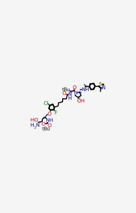 Cc1ncsc1-c1ccc([C@H](C)NC[C@@H]2C[C@@H](O)CN2C(=O)[C@@H](NC(=O)CCCCCc2cc(Cl)cc(OC[C@H](CCC(N)O)NC(=O)OC(C)(C)C)c2F)C(C)(C)C)cc1